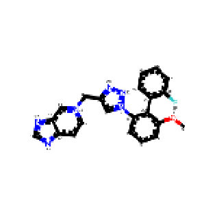 COc1cccc(-n2cc(Cn3ccc4ncnc-4c3)nn2)c1-c1ccccc1F